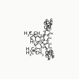 CC(C)(C)c1ccc(C2(c3ccc(C(C)(C)C)cc3)c3cc(OS(=O)(=O)C(F)(F)F)ccc3-c3cc4ccc(OS(=O)(=O)C(F)(F)F)cc4cc32)cc1